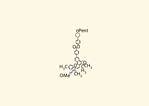 C=C/C(=C\C=C\OC)C1(c2ccc(C)cc2)C=Cc2c3c(c4cc(-c5ccc(C(=O)Oc6ccc(C7CCC(CCCCC)CC7)cc6)cc5)ccc4c2O1)COC3(C)C